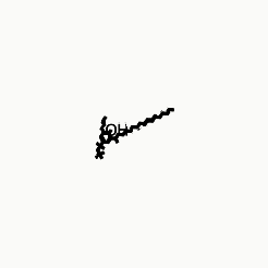 CCCCCCCCCCCCCCCCC(C)c1cc(C(C)(C)CC(C)(C)C)cc(CCCC)c1O